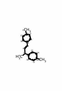 Cc1ccc(/C=C/C(C)c2ccc(C)cc2)cc1